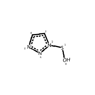 OSn1ccnn1